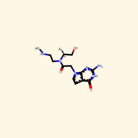 CCCNCCN(C(=O)Cn1ccc2c(=O)[nH]c(N)nc21)[C@H](CO)C(C)=O